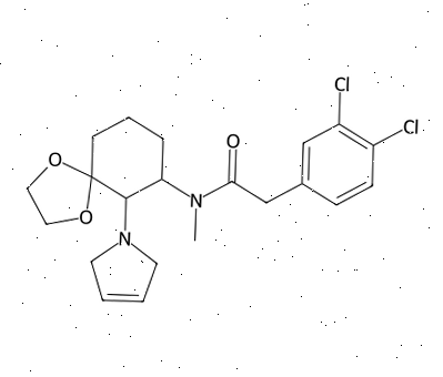 CN(C(=O)Cc1ccc(Cl)c(Cl)c1)C1CCCC2(OCCO2)C1N1CC=CC1